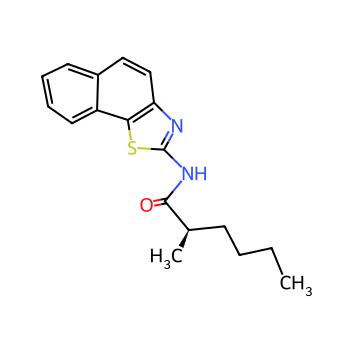 CCCC[C@@H](C)C(=O)Nc1nc2ccc3ccccc3c2s1